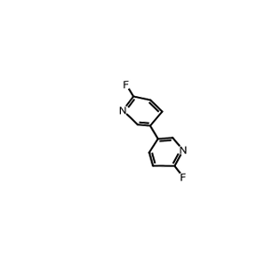 Fc1ccc(-c2ccc(F)nc2)cn1